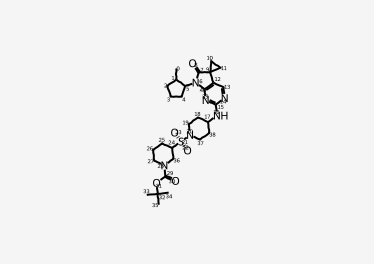 CC1CCCC1N1C(=O)C2(CC2)c2cnc(NC3CCN(S(=O)(=O)C4CCCN(C(=O)OC(C)(C)C)C4)CC3)nc21